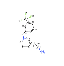 N[C@@H]1C[C@H]1C1=CN(Cc2cccc(C(F)(F)F)c2)CC=C1